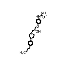 CCCCc1ccc(N2CCN(C[C@@H](O)COc3ccc(NC(N)=O)cc3)CC2)cc1